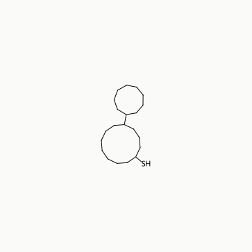 SC1CCCCCCCC(C2CCCCCCCC2)CCC1